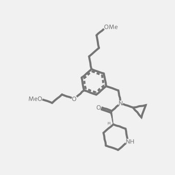 COCCCc1cc(CN(C(=O)[C@@H]2CCCNC2)C2CC2)cc(OCCOC)c1